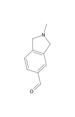 CN1Cc2ccc(C=O)cc2C1